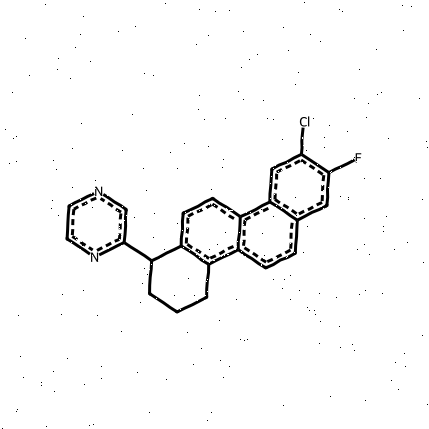 Fc1cc2ccc3c4c(ccc3c2cc1Cl)C(c1cnccn1)CCC4